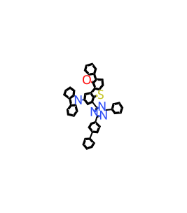 c1ccc(-c2ccc(-c3nc(-c4ccccc4)nc(-c4cc(-n5c6ccccc6c6ccccc65)cc5c4sc4ccc6c7ccccc7oc6c45)n3)cc2)cc1